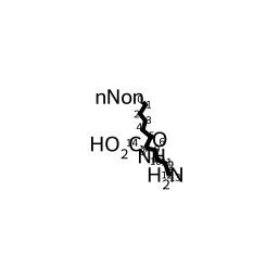 CCCCCCCCCCCCCC(=O)[C@](N)(CCCCN)C(=O)O